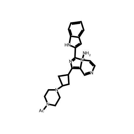 CC(=O)N1CCN(C2CC(C3=C4C=NC=C[N+]4(N)C(c4cc5ccccc5[nH]4)=N3)C2)CC1